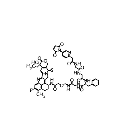 CC[C@@]1(O)C(=O)OCc2c1cc1n(c2=S)Cc2c-1nc1cc(F)c(C)c3c1c2[C@H](NC(=O)COCNC(=O)CNC(=O)[C@H](Cc1ccccc1)NC(=O)CNC(=O)CNC(=O)Cc1ccc(N2C(=O)C=CC2=O)cn1)CC3